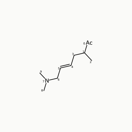 CC(=O)C(C)C/C=C/CN(C)C